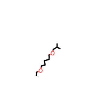 [CH2]COCCCCCOCC(C)C